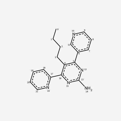 CCCCc1c(-c2cccnc2)nc(N)nc1-c1ccccn1